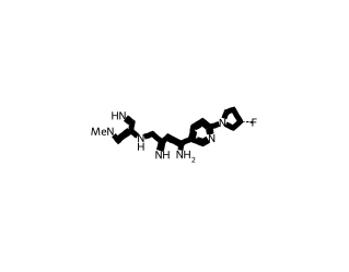 CN/C=C(\C=N)NCC(=N)/C=C(\N)c1ccc(N2CC[C@H](F)C2)nc1